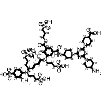 C\C(=C/C=C/C(CCCS(=O)(=O)O)=[N+](\CCCS(=O)(=O)O)c1ccc(S(=O)(=O)O)cc1C)N(CCCS(=O)(=O)O)c1cc(C(=O)NC2CCN(c3nc(N4CCC(N)CC4)nc(N4CCC(C(=O)O)CC4)n3)CC2)cc(C(=O)OCCCS(=O)(=O)O)c1C